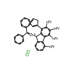 CCCc1cccc2c1-c1c(CCC)c(CCC)c(CCC)c(C3=CC=CC3)c1[CH]2[Zr+2]=[C](c1ccccc1)c1ccccc1.[Cl-].[Cl-]